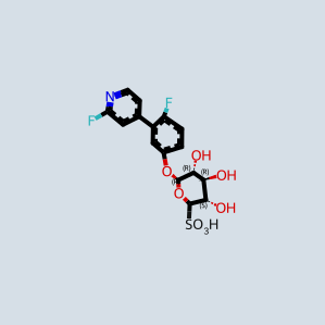 O=S(=O)(O)C1O[C@@H](Oc2ccc(F)c(-c3ccnc(F)c3)c2)[C@H](O)[C@@H](O)[C@@H]1O